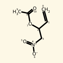 C=CC(C[N+](=O)[O-])OC(C)=O